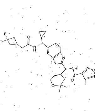 Cc1nonc1C(=O)N[C@H](c1nc2ccc([C@H](NC(=O)CC3CC(F)(F)C3)C3CC3)cc2[nH]1)[C@@H]1CCOC(C)(C)C1